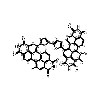 Cc1cc2c3c(ccc4c5c(-c6ccc(-c7ccc(-c8cc9c%10c%11c(c%12ccc%13c%14c(ccc(c8%11)c%12%14)C(=O)NC%13=O)C(C)C(C)C=%10C(=O)NC9=O)s7)s6)cc6c7c(ccc(c1c34)c75)C(=O)NC6=O)C(=O)NC2=O